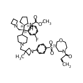 C=CC(=O)N1CCOC[C@@H](S(=O)(=O)c2ccc(N3CC(C)(CN4CCC([C@@](CN5CCC5)(c5cccc(F)c5)[C@H]5CCC[C@@H]5NC(=O)OC)CC4)C3)cc2)C1